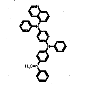 CN(c1ccccc1)c1ccc(N(c2ccccc2)c2ccc(N(c3ccccc3)c3cccc4ncccc34)cc2)cc1